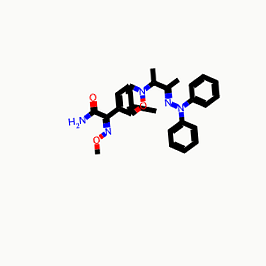 CON=C(C(N)=O)c1cc2cc(C)c1ON2C(C)C(C)=NN(c1ccccc1)c1ccccc1